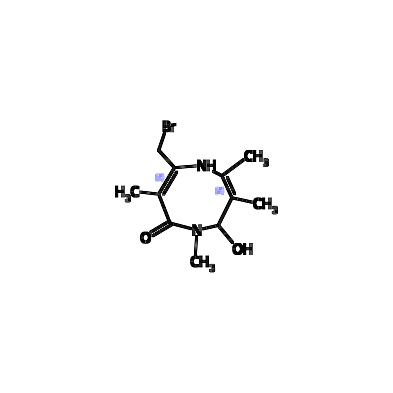 C/C1=C(\C)C(O)N(C)C(=O)/C(C)=C(/CBr)N1